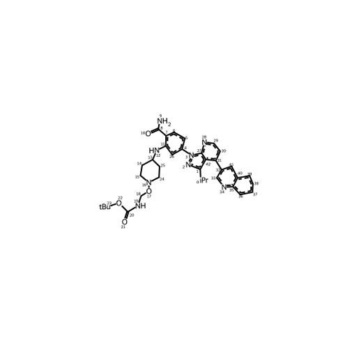 CC(C)c1nn(-c2ccc(C(N)=O)c(NC3CCN(OCNC(=O)OC(C)(C)C)CC3)c2)c2nccc(-c3cnc4ccccc4c3)c12